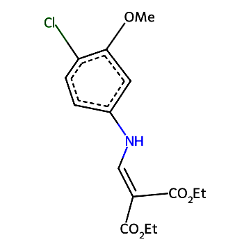 CCOC(=O)C(=CNc1ccc(Cl)c(OC)c1)C(=O)OCC